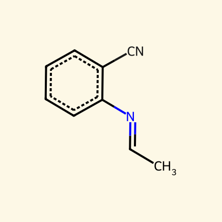 CC=Nc1ccccc1C#N